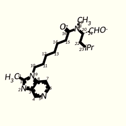 Cc1nc2cnccc2n1CCCCCCC(=O)N(C)[C@H]([C]=O)CC(C)C